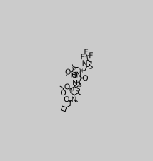 COC(=O)[C@@H](C)C[C@H](Cc1nc(C(F)(F)F)cs1)NC(=O)c1csc([C@@H](CC(C(C)C)N(C)C(=O)CC2CCC2)OC(C)=O)n1